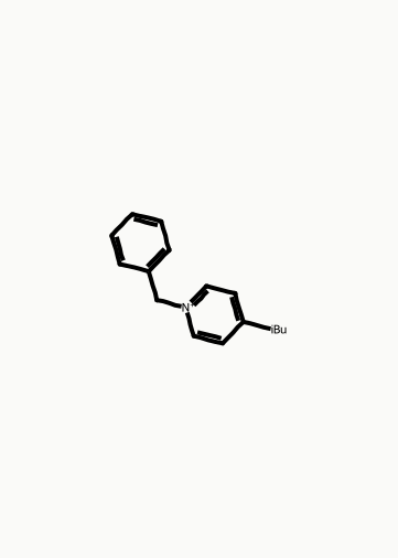 CCC(C)c1cc[n+](Cc2ccccc2)cc1